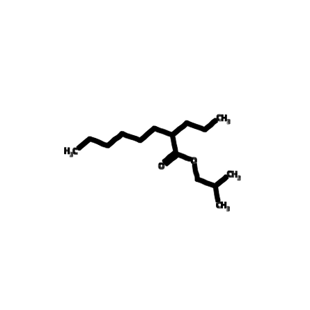 CCCCCCC(CCC)C(=O)OCC(C)C